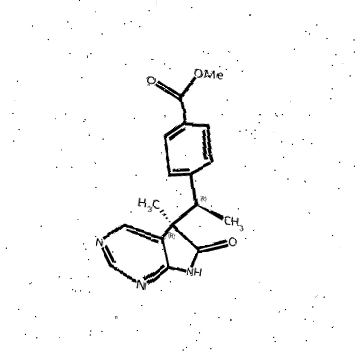 COC(=O)c1ccc([C@@H](C)[C@@]2(C)C(=O)Nc3ncncc32)cc1